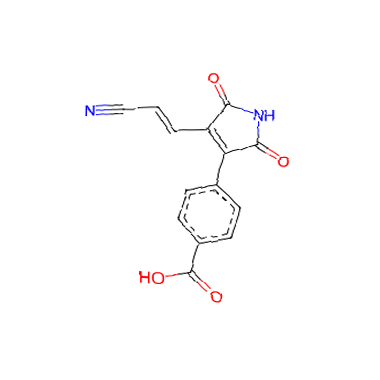 N#CC=CC1=C(c2ccc(C(=O)O)cc2)C(=O)NC1=O